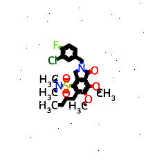 CCCCc1c(OC)c(OC)c2c(c1S(=O)(=O)N(C)C)CN(Cc1ccc(F)c(Cl)c1)C2=O